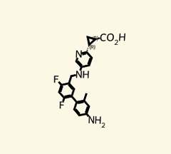 Cc1cc(N)ccc1-c1cc(CNc2ccc([C@@H]3C[C@H]3C(=O)O)nc2)c(F)cc1F